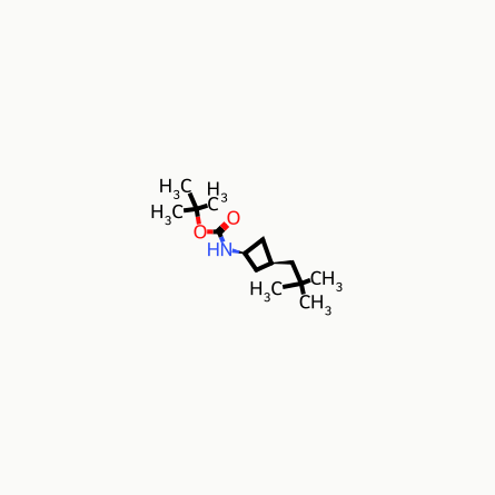 CC(C)(C)C[C@H]1C[C@@H](NC(=O)OC(C)(C)C)C1